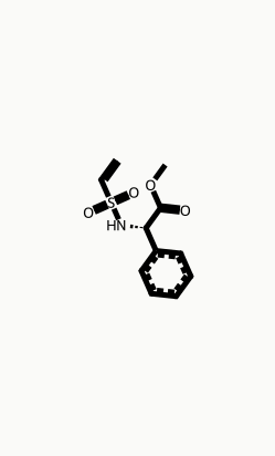 C=CS(=O)(=O)N[C@H](C(=O)OC)c1ccccc1